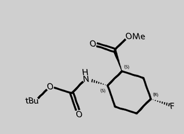 COC(=O)[C@H]1C[C@H](F)CC[C@@H]1NC(=O)OC(C)(C)C